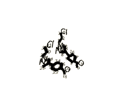 CC(=O)c1ccc(-c2cnn(CCCCl)c2)cc1.CC(=O)c1ccc(-c2cnn(CCCCl)c2)cc1